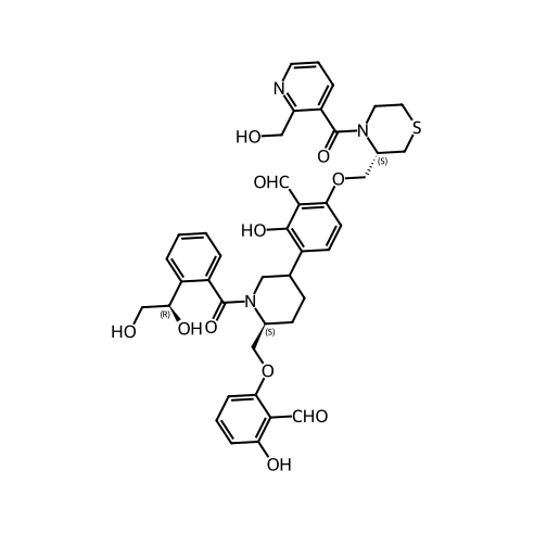 O=Cc1c(O)cccc1OC[C@@H]1CCC(c2ccc(OC[C@H]3CSCCN3C(=O)c3cccnc3CO)c(C=O)c2O)CN1C(=O)c1ccccc1[C@@H](O)CO